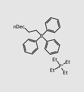 CCCCCCCCCCCC[B-](c1ccccc1)(c1ccccc1)c1ccccc1.CC[P+](CC)(CC)CC